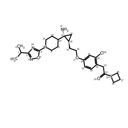 CC(C)c1noc(N2CCC([C@@]3(N)C[C@H]3CCOc3ccc(CC(=O)N4CCC4)c(Cl)c3)CC2)n1